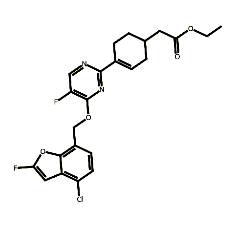 CCOC(=O)CC1CC=C(c2ncc(F)c(OCc3ccc(Cl)c4cc(F)oc34)n2)CC1